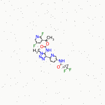 C[C@@H](OC(=O)Nc1c(-c2ccc(NC(=O)[C@@H]3CC3(F)F)cn2)nnn1C)c1cc(F)cnc1F